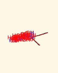 CCCCCCCCCCCCC/C=C/[C@@H](O)[C@H](CO[C@@H]1OC(CO)[C@@H](O[C@@H]2OC(CO)[C@H](O)[C@H](O[C@@H]3OC(CO)[C@@H](O[C@@H]4OC(CO)[C@H](O)[C@H](O[C@@H]5OC(CO)[C@@H](O[C@@H]6OC(CO)[C@H](O)[C@H](O[C@]7(C(=O)O)CC(O)[C@@H](NC(C)=O)C([C@H](O)[C@H](O)CO)O7)C6O)[C@H](O)C5NC(C)=O)C4O)[C@H](O[C@H]4OC(C)[C@@H](O)C(O)[C@@H]4O)C3NC(C)=O)C2O)[C@H](O)C1O)NC(=O)CCCCCCCCCCCCCCCCCCCCCCC